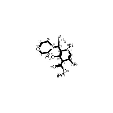 CCN1C=C(C(C)C)C(C(=O)OC(C)C)C(C)=C1C(C)N1CCOCC1